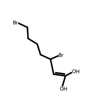 OC(O)=CC(Br)CCCCBr